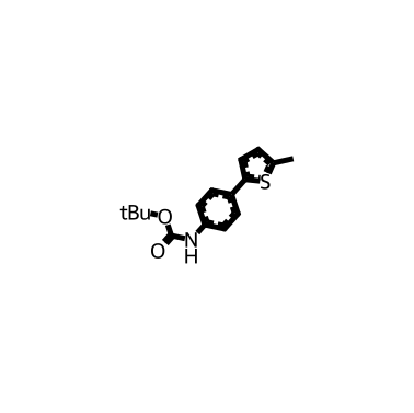 Cc1ccc(-c2ccc(NC(=O)OC(C)(C)C)cc2)s1